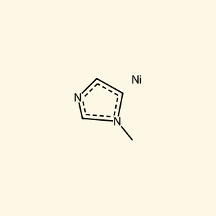 Cn1ccnc1.[Ni]